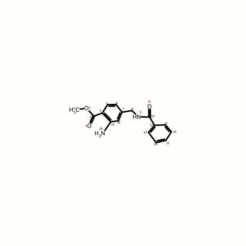 COC(=O)c1ccc(CNC(=O)c2ccccc2)cc1N